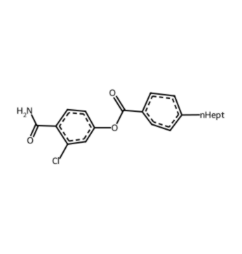 CCCCCCCc1ccc(C(=O)Oc2ccc(C(N)=O)c(Cl)c2)cc1